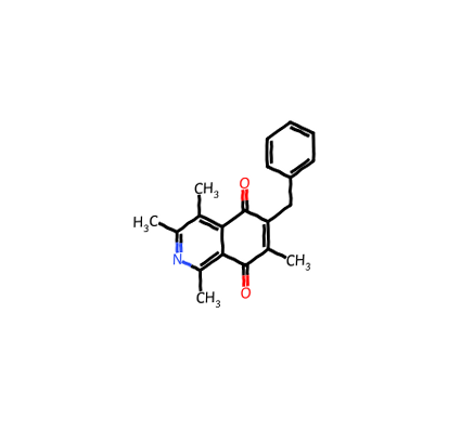 CC1=C(Cc2ccccc2)C(=O)c2c(C)c(C)nc(C)c2C1=O